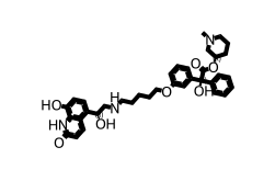 CN1CCC[C@@H](OC(=O)[C@](O)(c2ccccc2)c2cccc(OCCCCCNC[C@H](O)c3ccc(O)c4[nH]c(=O)ccc34)c2)C1